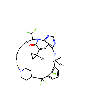 C[C@H]1Nc2ncnc3c2cc(C2(C#N)CC2)c(=O)n3C(C(F)F)CCCCCCN2CCC(CC2)C(F)(F)c2cccc1c2F